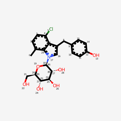 Cc1ccc(Cl)c2c(Cc3ccc(O)cc3)cn([C@@H]3O[C@H](CO)[C@@H](O)[C@H](O)[C@H]3O)c12